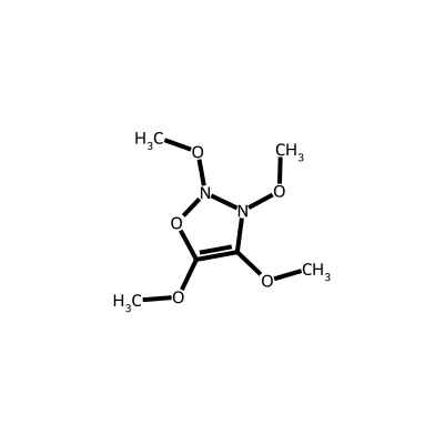 COC1=C(OC)N(OC)N(OC)O1